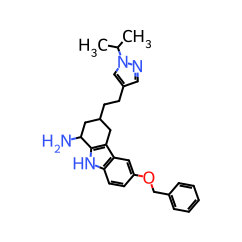 CC(C)n1cc(CCC2Cc3c([nH]c4ccc(OCc5ccccc5)cc34)C(N)C2)cn1